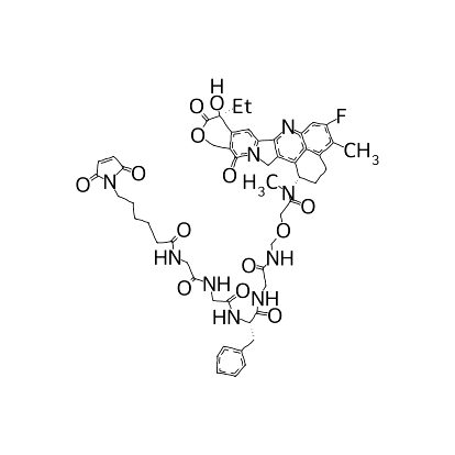 CC[C@@]1(O)C(=O)OCc2c1cc1n(c2=O)Cc2c-1nc1cc(F)c(C)c3c1c2[C@@H](N(C)C(=O)COCNC(=O)CNC(=O)[C@H](Cc1ccccc1)NC(=O)CNC(=O)CNC(=O)CCCCCN1C(=O)C=CC1=O)CC3